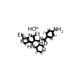 CCc1nc2c(cnn2CC)c(NC2CCOCC2)c1CNC(=O)c1ccc(N)cc1.Cl